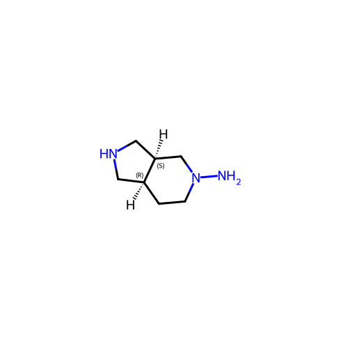 NN1CC[C@H]2CNC[C@H]2C1